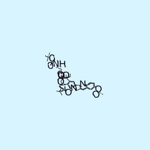 CCC1(OC(=O)CCNC(=O)OC(C)(C)C)C(=O)OC([Si](C)(C)C(C)C)c2c1cc1n(c2=O)Cc2cc3cc(OC(C)=O)ccc3nc2-1